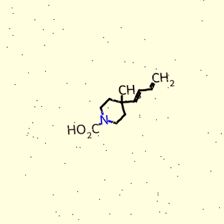 C=C/C=C/C1(C)CCN(C(=O)O)CC1